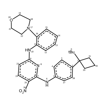 CC(C)(C)C1(c2ccc(Nc3nc(Nc4ccccc4N4CCOCC4)ccc3[N+](=O)[O-])cc2)CCC1